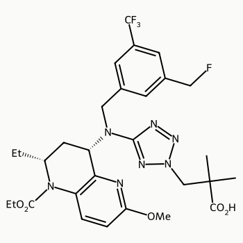 CCOC(=O)N1c2ccc(OC)nc2[C@@H](N(Cc2cc(CF)cc(C(F)(F)F)c2)c2nnn(CC(C)(C)C(=O)O)n2)C[C@H]1CC